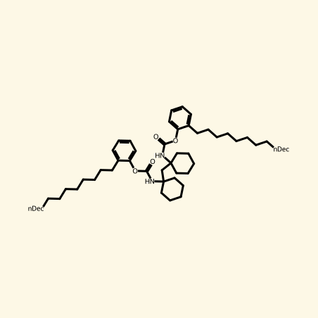 CCCCCCCCCCCCCCCCCCc1ccccc1OC(=O)NC1(CC2(NC(=O)Oc3ccccc3CCCCCCCCCCCCCCCCCC)CCCCC2)CCCCC1